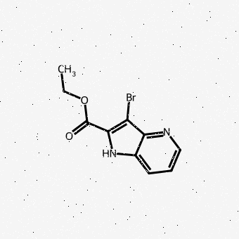 CCOC(=O)c1[nH]c2cccnc2c1Br